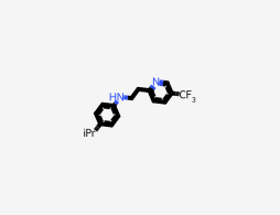 CC(C)c1ccc(NCCc2ccc(C(F)(F)F)cn2)cc1